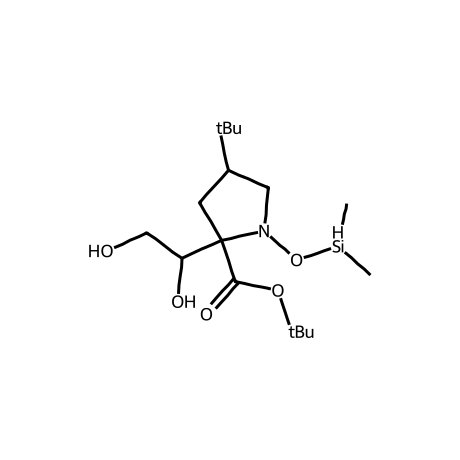 C[SiH](C)ON1CC(C(C)(C)C)CC1(C(=O)OC(C)(C)C)C(O)CO